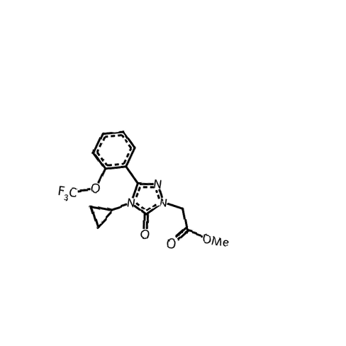 COC(=O)Cn1nc(-c2ccccc2OC(F)(F)F)n(C2CC2)c1=O